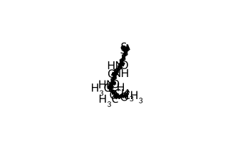 COCCC(C)(C)OCCC(C)(C)NC(=O)CCC(=O)NCCNC(=O)CCCCC1CCSS1